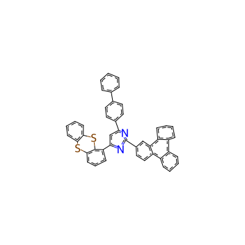 c1ccc(-c2ccc(-c3cc(-c4cccc5c4Sc4ccccc4S5)nc(-c4ccc5c6ccccc6c6ccccc6c5c4)n3)cc2)cc1